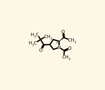 CC(=O)[C@@H]1CC(C(=O)C(C)(C)C)CN1C(C)=O